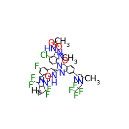 Cc1cc(-c2ccc3c(=O)n(-c4ccc(Cl)c5c(NS(C)(=O)=O)nn(C)c45)c([C@H](Cc4cc(F)cc(F)c4)NC(=O)Cn4nc(C(F)F)c5c4C(F)(F)C4C[C@H]54)nc3c2)nn1CC(F)(F)C(F)F